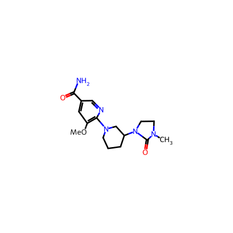 COc1cc(C(N)=O)cnc1N1CCCC(N2CCN(C)C2=O)C1